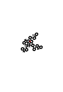 Cn1c2ccccc2c2cccc(-c3ccccc3-c3ccc4c5ccc(-c6ccccc6-c6cccc7c8ccccc8n(C)c67)cc5c5nc6c(-c7cccc8c7-c7ccccc7C8(C)C)sc(-c7cccc8c7-c7ccccc7C8(C)C)c6nc5c4c3)c21